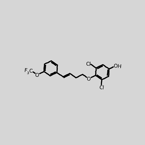 Oc1cc(Cl)c(OCCC=Cc2cccc(OC(F)(F)F)c2)c(Cl)c1